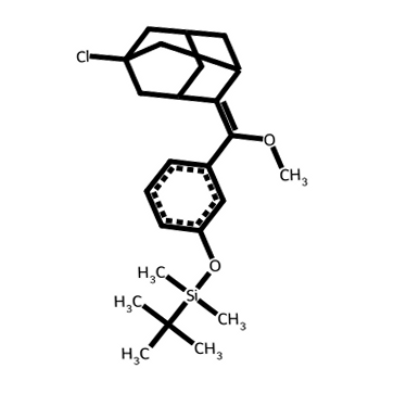 COC(=C1C2CC3CC1CC(Cl)(C3)C2)c1cccc(O[Si](C)(C)C(C)(C)C)c1